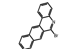 Brc1nc2ccccc2c2cc3ccccc3cc12